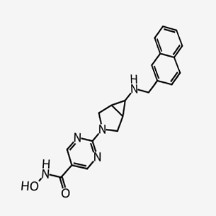 O=C(NO)c1cnc(N2CC3C(C2)C3NCc2ccc3ccccc3c2)nc1